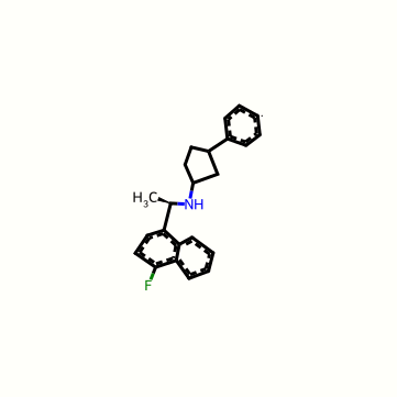 C[C@@H](NC1CCC(c2cc[c]cc2)C1)c1ccc(F)c2ccccc12